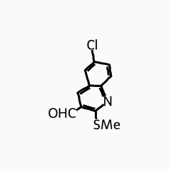 CSc1nc2ccc(Cl)cc2cc1C=O